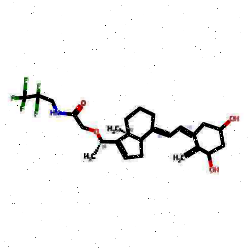 C=C1/C(=C\C=C2/CCC[C@]3(C)C([C@H](C)OCC(=O)NCC(F)(F)C(F)(F)F)=CCC23)CC(O)CC1O